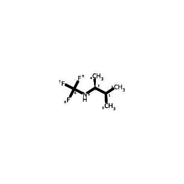 CC(C)[C@H](C)NC(F)(F)F